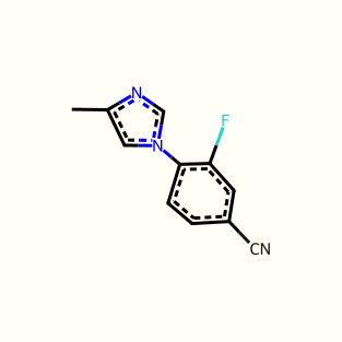 Cc1cn(-c2ccc(C#N)cc2F)cn1